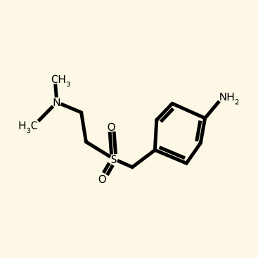 CN(C)CCS(=O)(=O)Cc1ccc(N)cc1